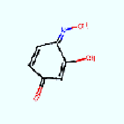 O=C1C=CC(=NO)C(O)=C1